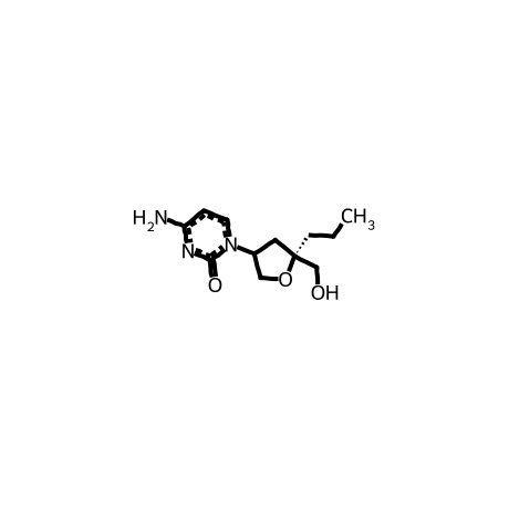 CCC[C@@]1(CO)CC(n2ccc(N)nc2=O)CO1